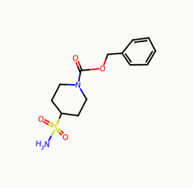 NS(=O)(=O)C1CCN(C(=O)OCc2ccccc2)CC1